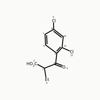 CCC(C(=O)O)C(=O)c1ccc(Cl)cc1Cl